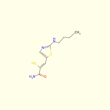 CCCCNc1ncc(/C=C(\S)C(N)=O)s1